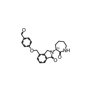 O=Cc1ccc(OCc2cccc3c2CN([C@H]2CCCCNC2=O)C3=O)cc1